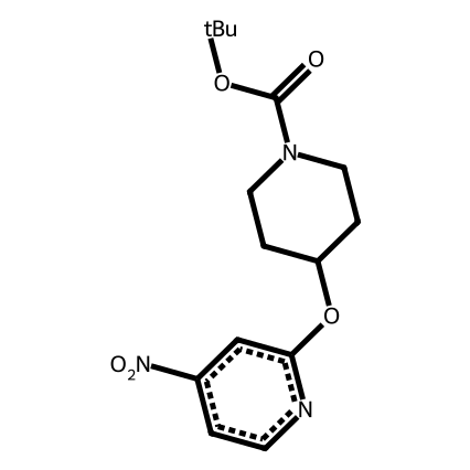 CC(C)(C)OC(=O)N1CCC(Oc2cc([N+](=O)[O-])ccn2)CC1